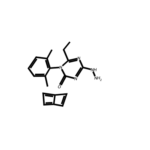 CCc1nc(NN)nc(=O)n1-c1c(C)cccc1C.c1cc2ccc1-2